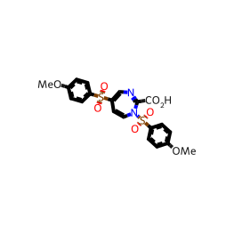 COc1ccc(S(=O)(=O)C2=CN=C(C(=O)O)N(S(=O)(=O)c3ccc(OC)cc3)C=C2)cc1